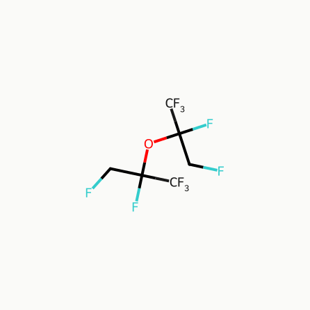 FCC(F)(OC(F)(CF)C(F)(F)F)C(F)(F)F